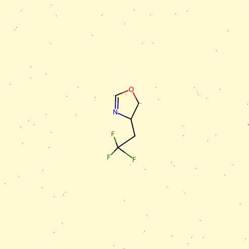 FC(F)(F)CC1[CH]O[C]=N1